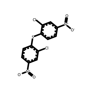 O=[N+]([O-])c1ccc(Sc2ccc([N+](=O)[O-])cc2Cl)c(Cl)c1